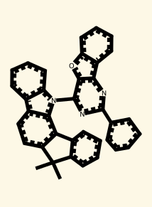 CC1(C)c2ccccc2-c2c1ccc1c3ccccc3n(-c3nc(-c4ccccc4)nc4c3oc3ccccc34)c21